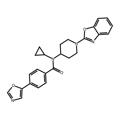 O=C(c1ccc(-c2cnco2)cc1)N(C1CC1)C1CCN(c2nc3ccccc3o2)CC1